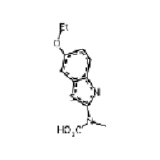 CCOc1ccc2nc(N(C)C(=O)O)sc2c1